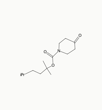 CC(C)CCC(C)(C)OC(=O)N1CCC(=O)CC1